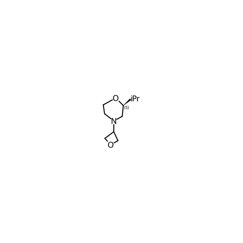 CC(C)[C@H]1CN(C2COC2)CCO1